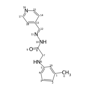 Cc1cccc(NCC(=O)N/N=C/c2ccncc2)c1